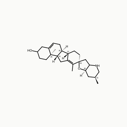 CC1=C2C[C@H]3[C@@H](CC=C4CC(O)CC[C@@]43C)[C@@H]2CC[C@@]12CC1NC[C@@H](C)C[C@H]1O2